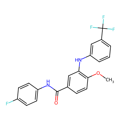 COc1ccc(C(=O)Nc2ccc(F)cc2)cc1Nc1cccc(C(F)(F)F)c1